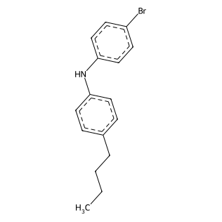 CCCCc1ccc(Nc2ccc(Br)cc2)cc1